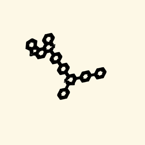 c1ccc(-c2ccc(-c3cc(-c4ccc(-c5ccc(-c6nc7ccccc7c7c6ccc6oc8ccccc8c67)cc5)cc4)nc(-c4ccccc4)n3)cc2)cc1